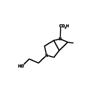 CC1C2CN(CCO)CC2N1C(=O)O